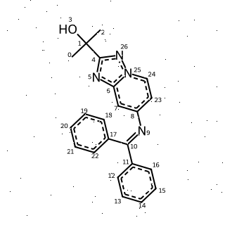 CC(C)(O)c1nc2cc(N=C(c3ccccc3)c3ccccc3)ccn2n1